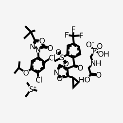 CC(C)Oc1cc(-n2nc(C(C)(C)C)oc2=O)c(Cl)cc1Cl.CS(=O)(=O)c1cc(C(F)(F)F)ccc1C(=O)c1cnoc1C1CC1.C[S+](C)C.O=C(O)CNCP(=O)([O-])O